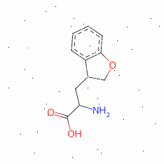 NC(CC1COc2ccccc21)C(=O)O